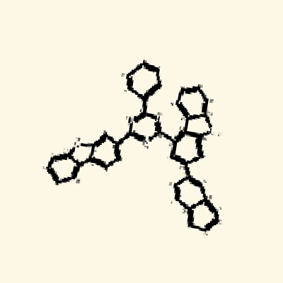 c1ccc(-c2nc(-c3ccc4c(c3)oc3ccccc34)nc(-c3cc(-c4ccc5ccccc5c4)cc4oc5ccccc5c34)n2)cc1